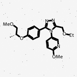 CCOCc1nnc(-c2ccc(O[C@H](C)COC)cc2)n1-c1ccc(OC)nc1